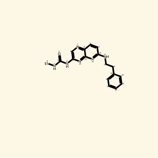 CCNC(=O)Nc1cnc2ccc(NCCc3ccccc3)nc2n1